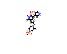 CC1CN(S(C)(=O)=O)CCN1Cc1cc2c(=O)n(C)cc(-c3ccncc3O)c2o1